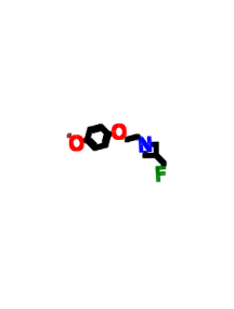 COc1ccc(OCCN2CC(CF)C2)cc1